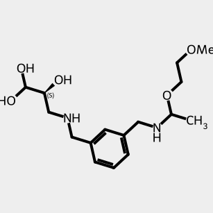 COCCOC(C)NCc1cccc(CNC[C@H](O)C(O)O)c1